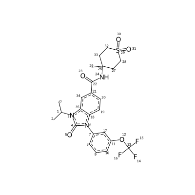 CC(C)n1c(=O)n(-c2cccc(OC(F)(F)F)c2)c2ccc(C(=O)NC3(C)CCS(=O)(=O)CC3)cc21